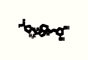 C[C@H](CN1CC[C@H](C(F)F)C1)[C@H]1CC[C@H]2/C(=C/C=C3C[C@@H](O)C[C@H](O)C3)CCC[C@]12C